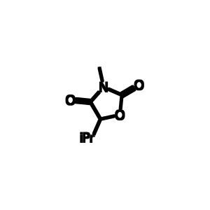 CC(C)C1OC(=O)N(C)C1=O